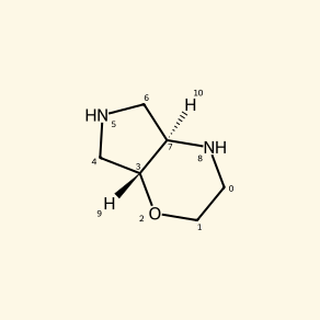 C1CO[C@@H]2CNC[C@H]2N1